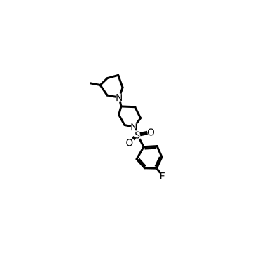 CC1CCCN(C2CCN(S(=O)(=O)c3ccc(F)cc3)CC2)C1